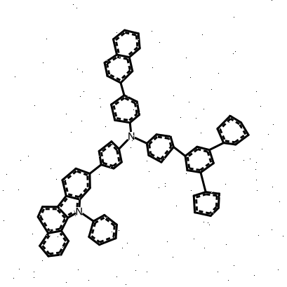 c1ccc(-c2cc(-c3ccccc3)cc(-c3ccc(N(c4ccc(-c5ccc6ccccc6c5)cc4)c4ccc(-c5ccc6c7ccc8ccccc8c7n(-c7ccccc7)c6c5)cc4)cc3)c2)cc1